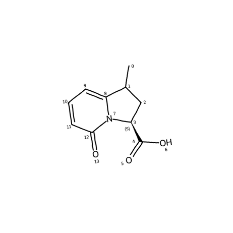 CC1C[C@@H](C(=O)O)n2c1cccc2=O